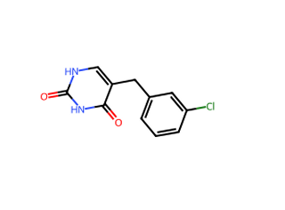 O=c1[nH]cc(Cc2cccc(Cl)c2)c(=O)[nH]1